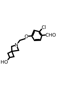 O=Cc1ccc(OCCN2CC3(CC(O)C3)C2)cc1Cl